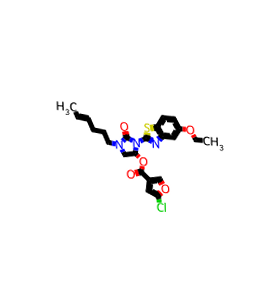 CC=CCCCN1CC(OC(=O)c2coc(Cl)c2)N(c2nc3cc(OCC)ccc3s2)C1=O